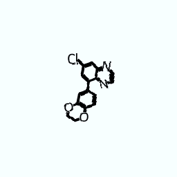 Clc1cc(-c2ccc3c(c2)OCCO3)c2nccnc2c1